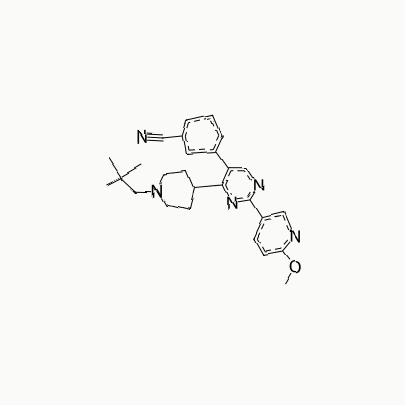 COc1ccc(-c2ncc(-c3cccc(C#N)c3)c(C3CCN(CC(C)(C)C)CC3)n2)cn1